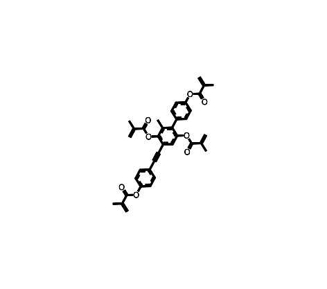 C=C(C)C(=O)Oc1ccc(C#Cc2cc(OC(=O)C(=C)C)c(-c3ccc(OC(=O)C(=C)C)cc3)c(C)c2OC(=O)C(=C)C)cc1